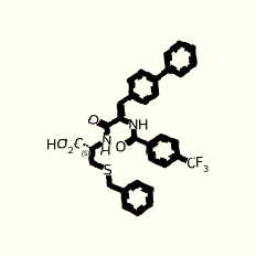 O=C(N[C@H](CSCc1ccccc1)C(=O)O)C(=Cc1ccc(-c2ccccc2)cc1)NC(=O)c1ccc(C(F)(F)F)cc1